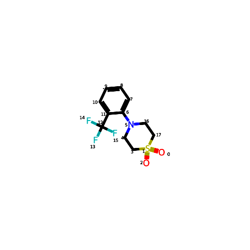 O=S1(=O)CCN(c2cc[c]cc2C(F)(F)F)CC1